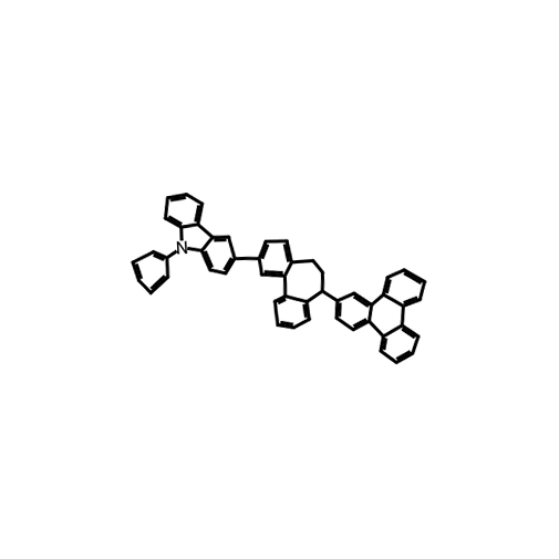 c1ccc(-n2c3ccccc3c3cc(-c4ccc5c(c4)-c4ccccc4C(c4ccc6c7ccccc7c7ccccc7c6c4)CC5)ccc32)cc1